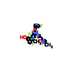 CCc1c(F)ccc2cc(O)cc(-c3ncc4c(N5CC(CC(=O)n6ccc(C)n6)C5)nc(OC[C@@]56CCCN5C[C@H](F)C6)nc4c3F)c12